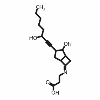 CCCCCC(O)C#CC1CC2C(=NCCC(=O)O)CC2C1O